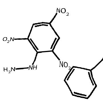 Cc1ccccc1.NNc1c([N+](=O)[O-])cc([N+](=O)[O-])cc1[N+](=O)[O-]